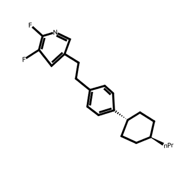 CCC[C@H]1CC[C@H](c2ccc(CCc3cnc(F)c(F)c3)cc2)CC1